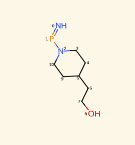 N=PN1CCC(CCO)CC1